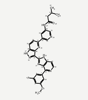 COc1cc(F)cc(-c2nccc3[nH]c(-c4n[nH]c5ccc(-c6cncc(NC(=O)CC(C)C)c6)nc45)nc23)c1